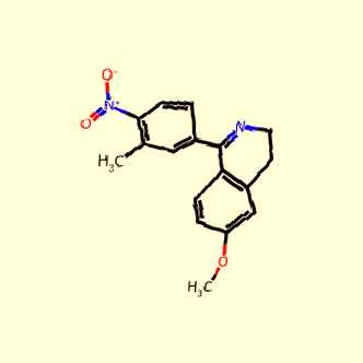 COc1ccc2c(c1)CCN=C2c1ccc([N+](=O)[O-])c(C)c1